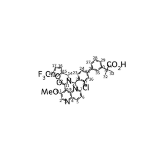 COc1cnc2cccnc2c1C(=O)N(Cc1ccc(C(F)(F)F)o1)Cc1ccc(-c2cccc(C(C)(C)C(=O)O)c2)cc1Cl